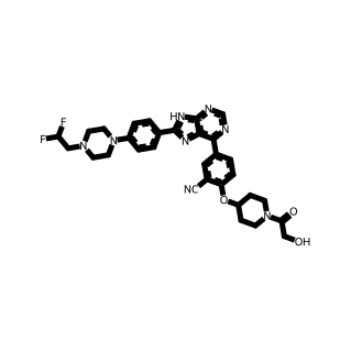 N#Cc1cc(-c2ncnc3[nH]c(-c4ccc(N5CCN(CC(F)F)CC5)cc4)nc23)ccc1OC1CCN(C(=O)CO)CC1